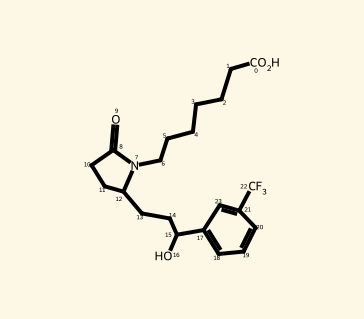 O=C(O)CCCCCCN1C(=O)CCC1CCC(O)c1cccc(C(F)(F)F)c1